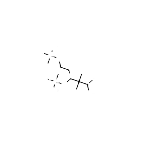 CCC(O)C(C)(C)[C@H](CCO[Si](C)(C)C(C)(C)C)O[Si](C)(C)C(C)(C)C